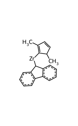 CC1=[C]([Zr][CH]2c3ccccc3-c3ccccc32)C(C)C=C1